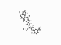 CN(C(=O)Nc1cccc(C(F)(F)F)c1)C1CC2(C1)CN(C(=O)c1c(F)cnc3[nH]ccc13)C2